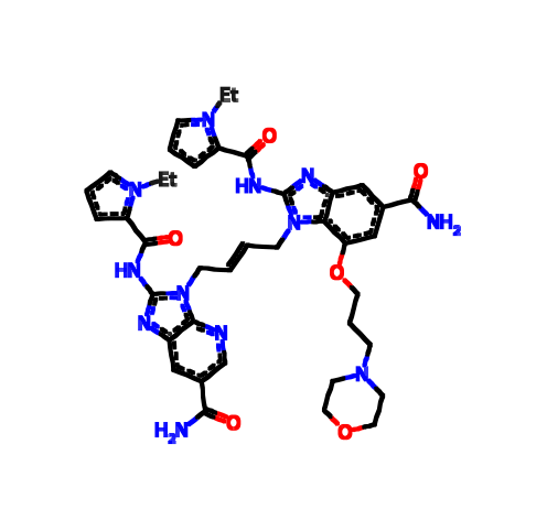 CCn1cccc1C(=O)Nc1nc2cc(C(N)=O)cnc2n1CC=CCn1c(NC(=O)c2cccn2CC)nc2cc(C(N)=O)cc(OCCCN3CCOCC3)c21